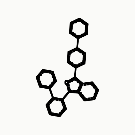 c1ccc(-c2ccc(-c3oc(-c4ccccc4-c4ccccc4)c4ccccc34)cc2)cc1